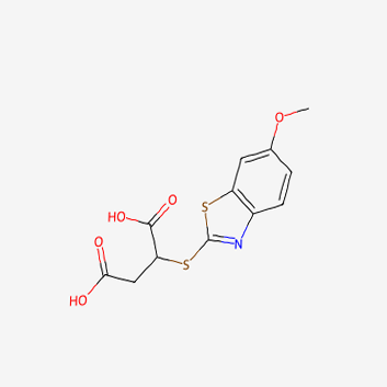 COc1ccc2nc(SC(CC(=O)O)C(=O)O)sc2c1